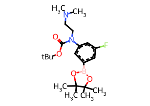 CN(C)CCN(C(=O)OC(C)(C)C)c1cc(F)cc(B2OC(C)(C)C(C)(C)O2)c1